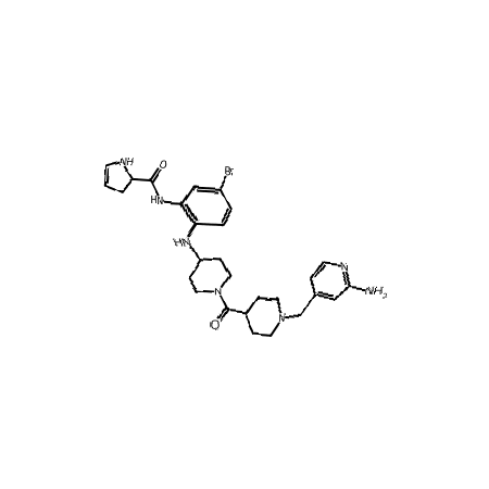 Nc1cc(CN2CCC(C(=O)N3CCC(Nc4ccc(Br)cc4NC(=O)C4CC=CN4)CC3)CC2)ccn1